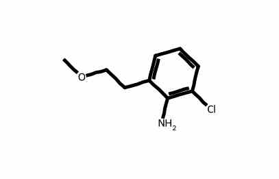 COCCc1cccc(Cl)c1N